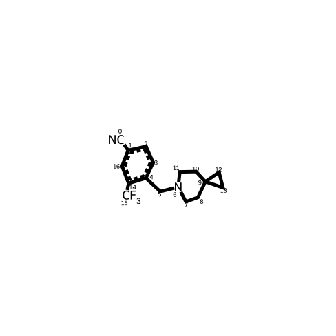 N#Cc1ccc(CN2CCC3(CC2)CC3)c(C(F)(F)F)c1